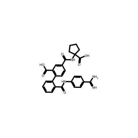 N=C(N)c1ccc(NC(=O)c2ccccc2-c2ccc(C(=O)NC3(C(=O)O)CCCC3)cc2C(=O)O)cc1